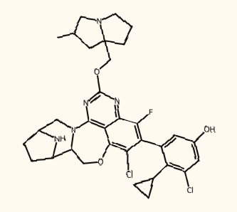 CC1CN2CCCC2(COc2nc3c4c(c(Cl)c(-c5cc(O)cc(Cl)c5C5CC5)c(F)c4n2)OCC2C4CCC(CN32)N4)C1